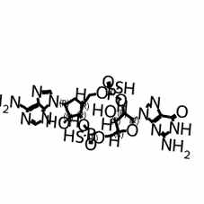 Nc1nc2c(ncn2[C@@H]2O[C@@H]3CO[P@](=O)(S)O[C@@H]4[C@@H](CO[P@@](=O)(S)O[C@@H]2[C@@H]3O)C[C@@H](n2cnc3c(N)ncnc32)[C@@H]4O)c(=O)[nH]1